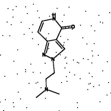 CN(C)CCn1cc2c(=O)[nH]ccc2n1